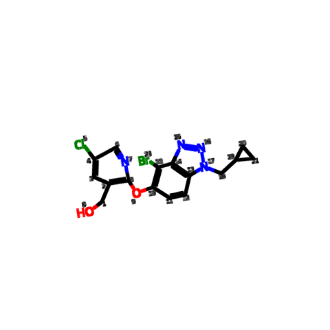 OCc1cc(Cl)cnc1Oc1ccc2c(nnn2CC2CC2)c1Br